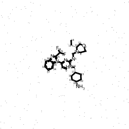 C=C/C(=N\C(=N/CN1CCOC[C@H]1CC)NC[C@H]1CC[C@H](N)CC1)n1c(C(F)F)nc2ccccc21